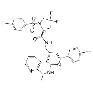 Cc1ccc(-c2cc(CNC(=O)[C@@H]3CC(F)(F)CN3S(=O)(=O)c3ccc(F)cc3)cc(NC(C)c3ccccn3)n2)cc1